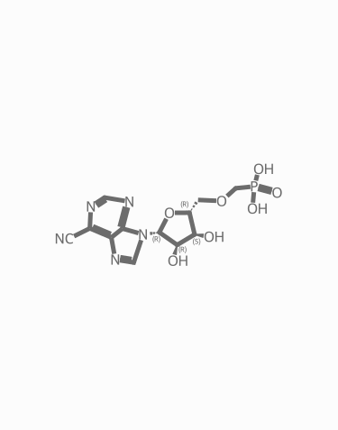 N#Cc1ncnc2c1ncn2[C@@H]1O[C@H](COCP(=O)(O)O)[C@@H](O)[C@H]1O